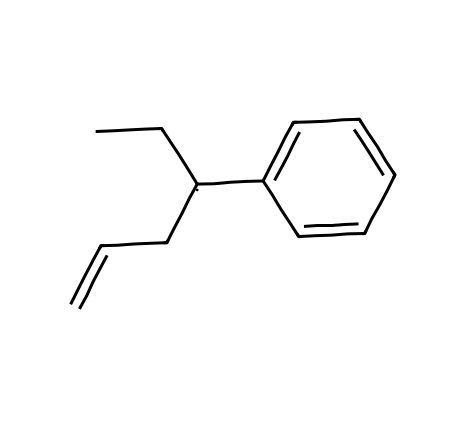 C=CC[C](CC)c1ccccc1